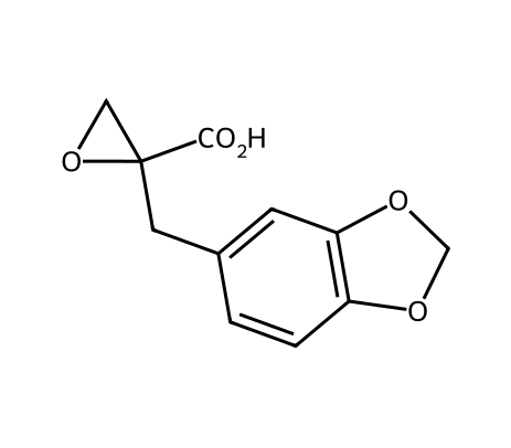 O=C(O)C1(Cc2ccc3c(c2)OCO3)CO1